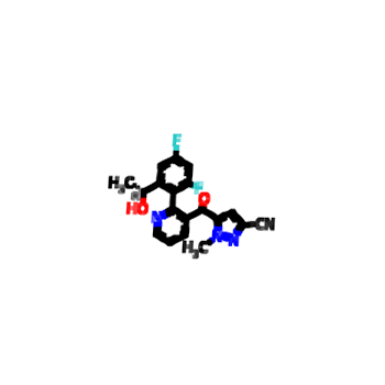 C[C@@H](O)c1cc(F)cc(F)c1-c1ncccc1C(=O)c1cc(C#N)nn1C